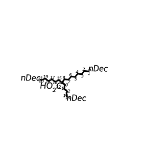 CCCCCCCCCCCCCCCCCCC(CCCCCCCCCCCCCC)(CCCCCCCCCCCCCCCC)C(=O)O